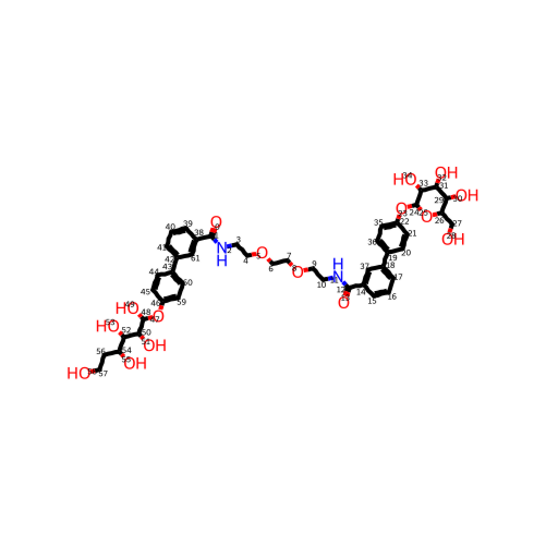 O=C(NCCOCCOCCNC(=O)c1cccc(-c2ccc(OC3OC(CO)C(O)C(O)C3O)cc2)c1)c1cccc(-c2ccc(OC(O)C(O)C(O)C(O)CCO)cc2)c1